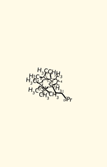 CC(C)CC[Si]1(C)[Si](C)(C)[Si](C)(C)[Si](C)(C)[Si]1(C)C